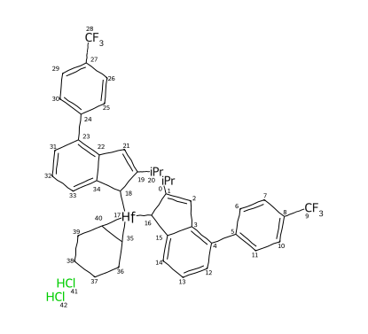 CC(C)C1=Cc2c(-c3ccc(C(F)(F)F)cc3)cccc2[CH]1[Hf]1([CH]2C(C(C)C)=Cc3c(-c4ccc(C(F)(F)F)cc4)cccc32)[CH]2CCCC[CH]21.Cl.Cl